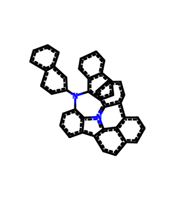 c1ccc2cc(N(c3cccc4ccccc34)c3cccc4c5ccc6cccc7c8ccccc8n(c34)c5c67)ccc2c1